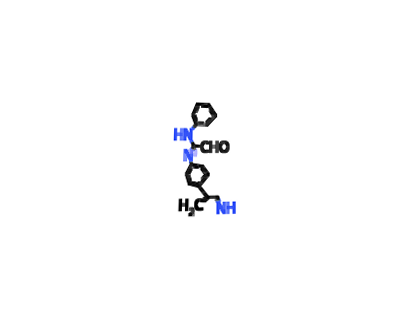 C=C(C=N)c1ccc(/N=C(\C=O)Nc2ccccc2)cc1